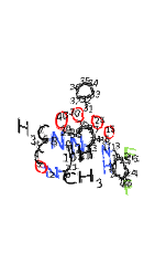 C/C1=N/OCC[C@H](C)N2C[C@H](C1)n1cc(C(=O)NCc3ccc(F)cc3F)c(=O)c(OCc3ccccc3)c1C2=O